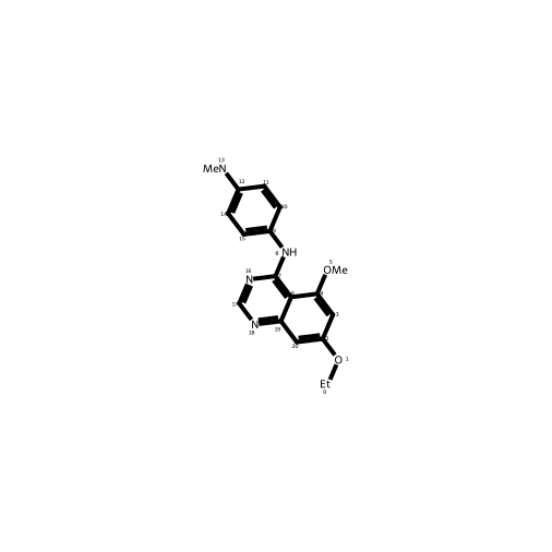 CCOc1cc(OC)c2c(Nc3ccc(NC)cc3)ncnc2c1